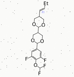 CC/C=C/C1COC(C2COC(c3cc(F)c(OC(F)F)c(F)c3)OC2)OC1